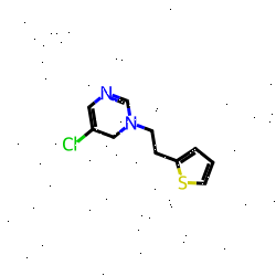 ClC1=CN=CN(CCc2cccs2)C1